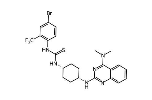 CN(C)c1nc(N[C@H]2CC[C@@H](NC(=S)Nc3ccc(Br)cc3C(F)(F)F)CC2)nc2ccccc12